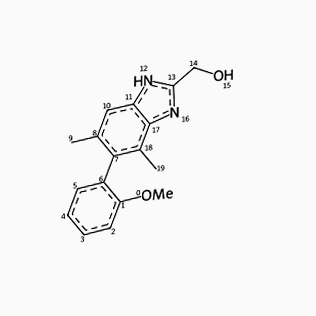 COc1ccccc1-c1c(C)cc2[nH]c(CO)nc2c1C